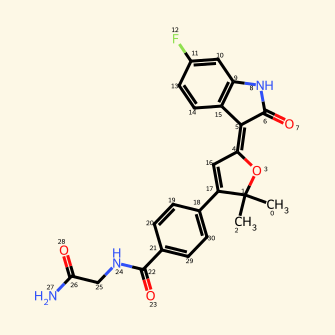 CC1(C)OC(=C2C(=O)Nc3cc(F)ccc32)C=C1c1ccc(C(=O)NCC(N)=O)cc1